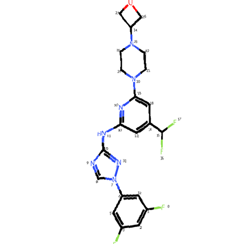 Fc1cc(F)cc(-n2cnc(Nc3cc(C(F)F)cc(N4CCN(C5COC5)CC4)n3)n2)c1